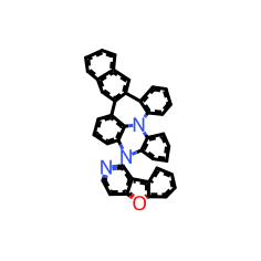 c1ccc2c(c1)-c1cc3ccccc3cc1-c1cccc3c1N2c1ccccc1N3c1nccc2oc3ccccc3c12